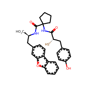 O=C(O)[C@H](Cc1ccc2c(c1)oc1ccccc12)NC(=O)C1(NC(=O)[C@@H](S)Cc2ccc(O)cc2)CCCC1